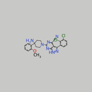 COc1ccccc1C1(N)CCN(c2nc(C#N)c3c(-c4cccc(Cl)c4Cl)n[nH]c3n2)CC1